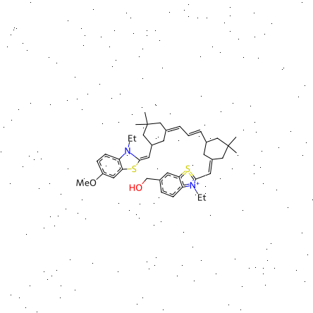 CCN1/C(=C\C2C/C(=C\C=C\C3C/C(=C\c4sc5cc(CO)ccc5[n+]4CC)CC(C)(C)C3)CC(C)(C)C2)Sc2cc(OC)ccc21